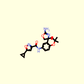 CC1(C)Oc2ccc(NC(=O)c3cc(C4CC4)on3)cc2C2(COC(N)=N2)C12COC2